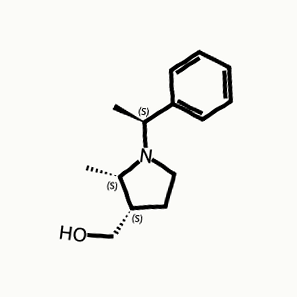 C[C@@H](c1ccccc1)N1CC[C@H](CO)[C@@H]1C